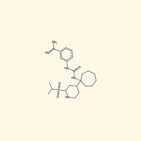 CC(C)S(=O)(=O)C1CC(C2(NC(=O)Nc3cccc(C(=N)N)c3)CCCCCC2)CCN1